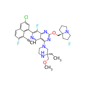 C#Cc1c(F)ccc2cc(Cl)cc(-c3ncc4c(N5CCN[C@@](CC)(COC)C5)nc(OC[C@@]56CCCN5C[C@H](F)C6)nc4c3F)c12